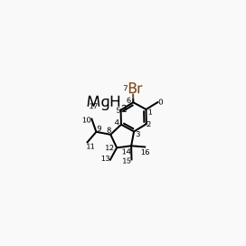 Cc1cc2c(cc1Br)C(C(C)C)C(C)C2(C)C.[MgH2]